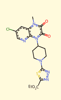 CCOC(=O)c1nnc(N2CCC(n3c(=O)c(=O)n(C)c4cc(Cl)cnc43)CC2)s1